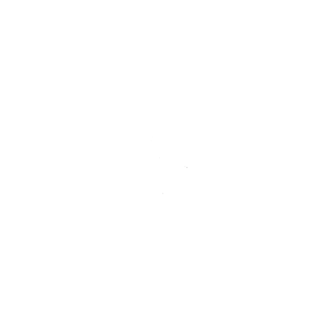 CC([NH])C1CC1